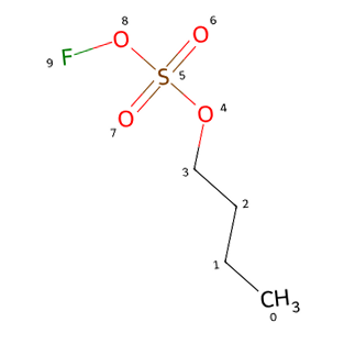 CCCCOS(=O)(=O)OF